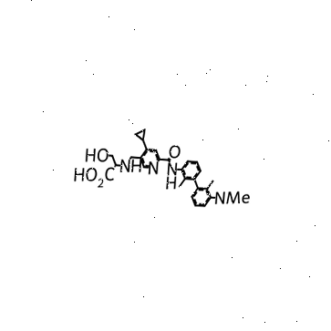 CNc1cccc(-c2cccc(NC(=O)c3cc(C4CC4)c(CN[C@@H](CO)C(=O)O)cn3)c2C)c1C